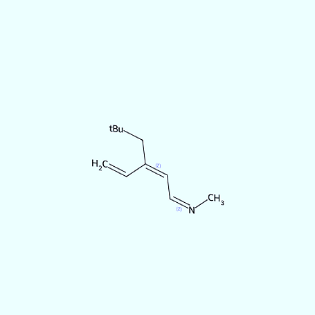 C=C/C(=C\C=N/C)CC(C)(C)C